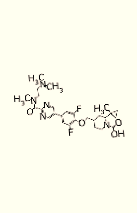 CN(C)CCN(C)C(=O)c1ncc(-c2cc(F)c(OCC3CCN(C(=O)O)C(C4(C)CC4)C3)c(F)c2)cn1